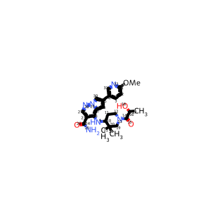 COc1ccc(-c2cc3c(NC4CCN(C(=O)C(C)O)CC4(C)C)c(C(N)=O)cnn3c2)cn1